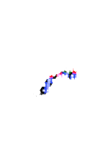 CC(COCCC(=O)N1CCN(c2ccc(C#N)cn2)CC1)Nc1cn[nH]c(=O)c1Cl